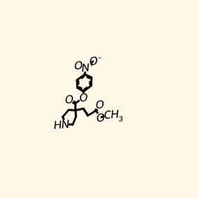 COC(=O)CCC1(C(=O)Oc2ccc([N+](=O)[O-])cc2)CCNCC1